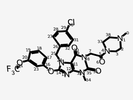 CN1CCN(C(=O)Cn2c(=O)c3c(nc(Oc4cccc(OC(F)(F)F)c4)n3Cc3ccc(Cl)cc3)n(C)c2=O)CC1